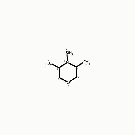 CC1COCC(C)N1[SiH3]